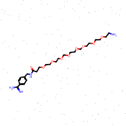 N=C(N)c1ccc(CNC(=O)CCOCCOCCOCOCCOCOCCOCCOCCN)cc1